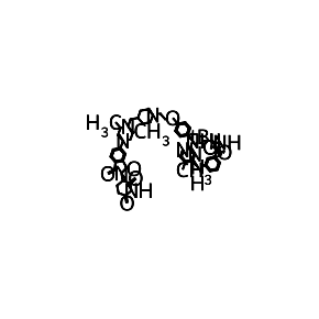 Cc1cnc(Nc2ccc(OCCN3CCC(CN4C(C)CN(c5ccc6c(c5)C(=O)N(C5CCC(=O)NC5=O)C6=O)CC4C)CC3)cc2)nc1Nc1cccc(S(=O)(=O)NC(C)(C)C)c1